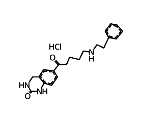 Cl.O=C1NCc2cc(C(=O)CCCCNCCc3ccccc3)ccc2N1